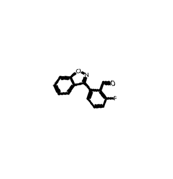 O=Cc1c(F)cccc1-c1noc2ccccc12